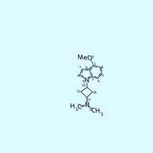 COc1cccc2c1ccn2C1CC(N(C)C)C1